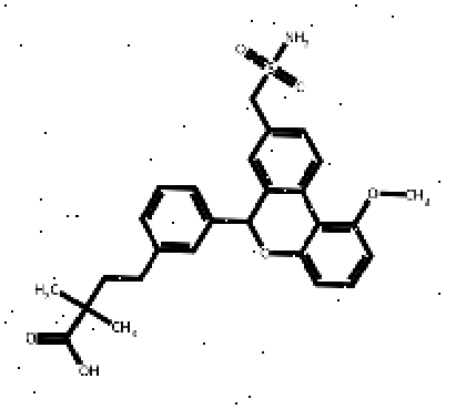 COc1cccc2c1-c1ccc(CS(N)(=O)=O)cc1C(c1cccc(CCC(C)(C)C(=O)O)c1)O2